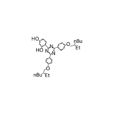 CCCCC(CC)COc1ccc(-c2nc(-c3ccc(OCC(CC)CCCC)cc3)nc(-c3ccc(O)cc3O)n2)cc1